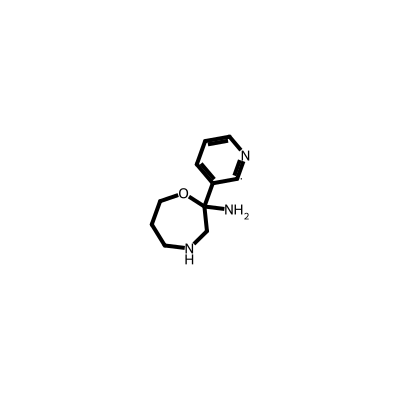 NC1(c2[c]nccc2)CNCCCO1